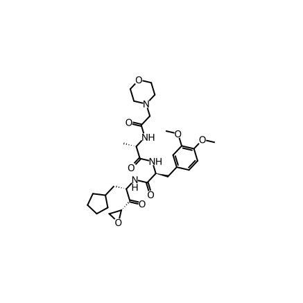 COc1ccc(C[C@H](NC(=O)[C@H](C)NC(=O)CN2CCOCC2)C(=O)N[C@@H](CC2CCCC2)C(=O)[C@H]2CO2)cc1OC